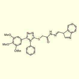 COc1cc(-c2nnc(SCC(=O)N/N=C/C3C=Nc4ccccc43)n2-c2ccccc2)cc(OC)c1OC